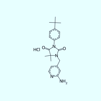 CC(C)(C)c1ccc(N2C(=O)N(Cc3ccnc(N)c3)C(C)(C)C2=O)cc1.Cl